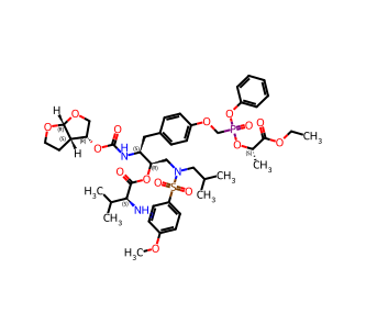 CCOC(=O)[C@H](C)OP(=O)(COc1ccc(C[C@H](NC(=O)O[C@H]2CO[C@H]3OCC[C@H]32)[C@@H](CN(CC(C)C)S(=O)(=O)c2ccc(OC)cc2)OC(=O)[C@@H](N)C(C)C)cc1)Oc1ccccc1